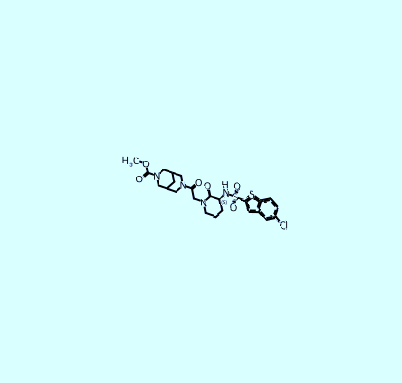 COC(=O)N1CC2CC(CN(C(=O)CN3CCC[C@H](NS(=O)(=O)c4cc5cc(Cl)ccc5s4)C3=O)C2)C1